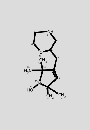 CC1(C)C=C(CC2CNCCO2)C(C)(C)N1O